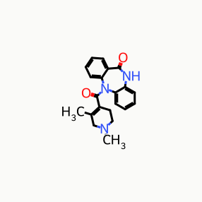 CC1=C(C(=O)N2c3ccccc3NC(=O)c3ccccc32)CCN(C)C1